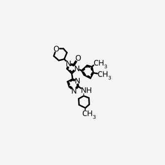 Cc1ccc(-n2c(-c3ccnc(N[C@H]4CC[C@H](C)CC4)n3)cn(C3CCOCC3)c2=O)cc1C